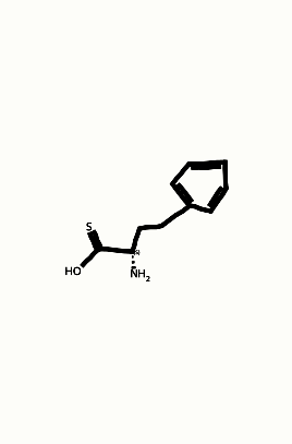 N[C@@H](CCc1ccccc1)C(O)=S